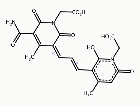 CC1=C(C(N)=O)C(=O)N(CC(=O)O)C(=O)/C1=C\C=C\c1c(C)cc(=O)n(CC(=O)O)c1O